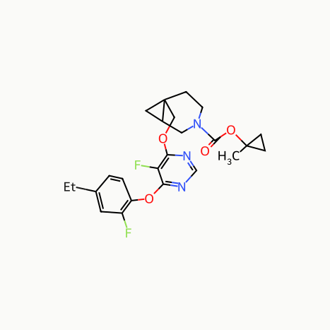 CCc1ccc(Oc2ncnc(OCC34CCN(C(=O)OC5(C)CC5)CC3C4)c2F)c(F)c1